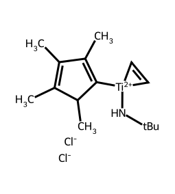 CC1=C(C)C(C)[C]([Ti+2]2([NH]C(C)(C)C)[CH]=[CH]2)=C1C.[Cl-].[Cl-]